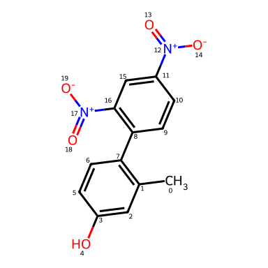 Cc1cc(O)ccc1-c1ccc([N+](=O)[O-])cc1[N+](=O)[O-]